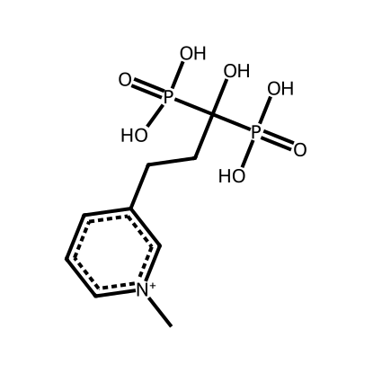 C[n+]1cccc(CCC(O)(P(=O)(O)O)P(=O)(O)O)c1